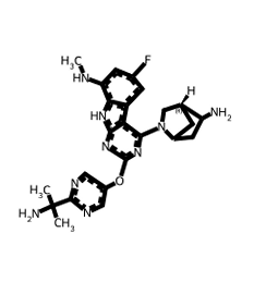 CNc1cc(F)cc2c1[nH]c1nc(Oc3cnc(C(C)(C)N)nc3)nc(N3C[C@H]4CC3CC4N)c12